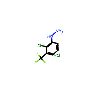 Cl.NNc1cccc(C(F)(F)F)c1Cl